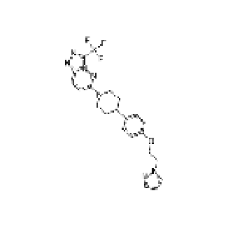 FC(F)(F)c1nnc2ccc(N3CCC(c4ccc(OCCn5cccn5)cc4)CC3)nn12